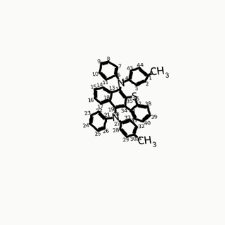 Cc1ccc(N(c2ccccc2)c2c3ccccc3c(N(c3ccccc3)c3ccc(C)cc3)c3c2sc2ccccc23)cc1